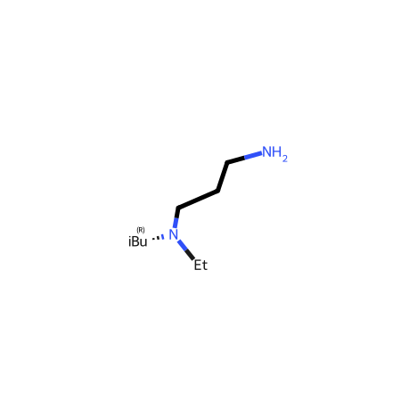 CC[C@@H](C)N(CC)CCCN